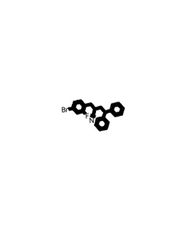 N#CC(Cc1ccc(Br)cc1F)CC(c1ccccc1)c1ccccc1